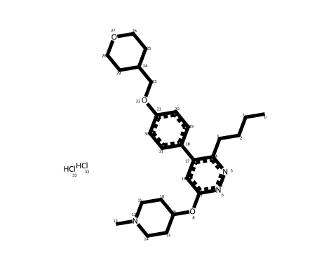 CCCCc1nnc(OC2CCN(C)CC2)cc1-c1ccc(OCC2CCOCC2)cc1.Cl.Cl